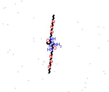 CCCCOCCOCCOCCCNC(=O)c1nc(CC)c(C(=O)NCCCOCCOCCOCCCC)nc1N